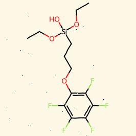 CCO[Si](O)(CCCOc1c(F)c(F)c(F)c(F)c1F)OCC